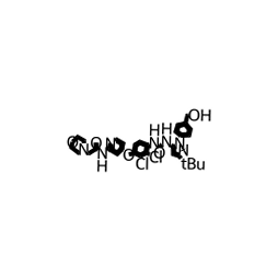 CC(C)(C)c1cc(NC(=O)Nc2ccc(Oc3ccnc(NC(=O)CN4CCOCC4)c3)c(Cl)c2Cl)n(-c2ccc(CO)cc2)n1